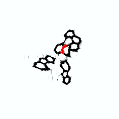 CC1(C)c2ccccc2-c2cc(N(c3ccc(-c4cccc5ccc6ccc7ccccc7c6c45)cc3)c3ccc4c(c3)C(C)(C)c3ccccc3-4)ccc21